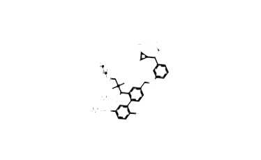 COc1ccc(F)c(-c2ccc(COc3cccc([C@@H](CC(=O)O)C4CC4)c3)cc2C(OC)C(C)(C)CN=[N+]=[N-])c1